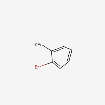 C[CH]Cc1ccccc1Br